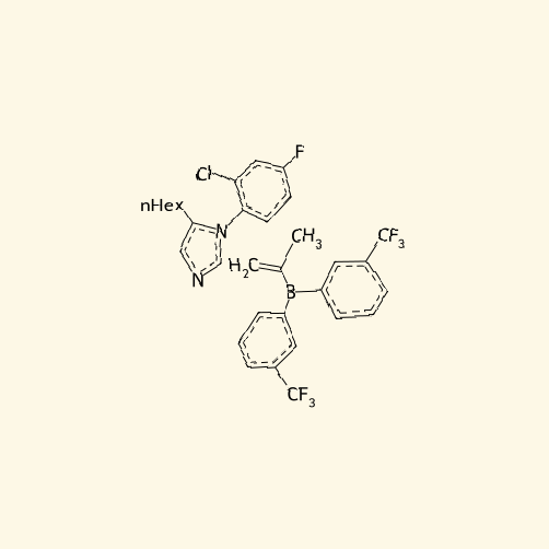 C=C(C)B(c1cccc(C(F)(F)F)c1)c1cccc(C(F)(F)F)c1.CCCCCCc1cncn1-c1ccc(F)cc1Cl